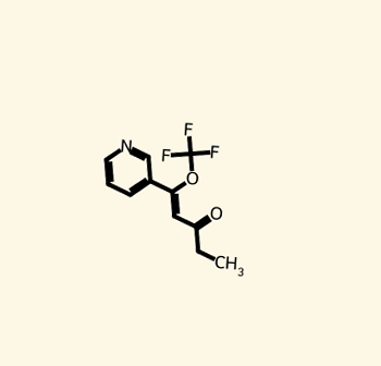 CCC(=O)C=C(OC(F)(F)F)c1cccnc1